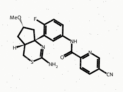 CO[C@H]1C[C@H]2CSC(N)=N[C@@]2(c2cc(NC(=O)c3ccc(C#N)cn3)ccc2F)C1